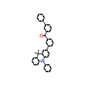 CC1(C)c2ccccc2N(c2ccccc2)c2ccc(-c3cccc(C(=O)c4cccc(-c5ccccc5)c4)c3)cc21